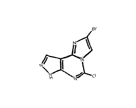 Clc1nc2[nH]ncc2c2nc(Br)cn12